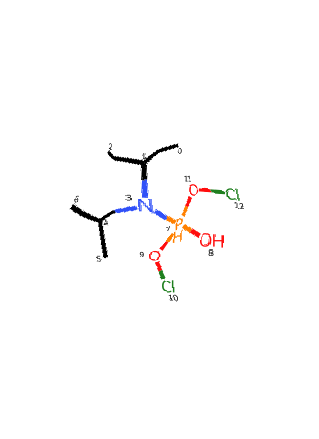 CC(C)N(C(C)C)[PH](O)(OCl)OCl